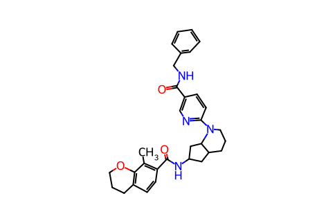 Cc1c(C(=O)NC2CC3CCCN(c4ccc(C(=O)NCc5ccccc5)cn4)C3C2)ccc2c1OCCC2